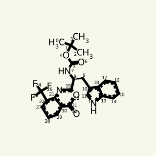 CC(C)(C)OC(=O)N[C@@H](Cc1c[nH]c2ccccc12)c1nc2c(C(F)(F)F)cccc2c(=O)o1